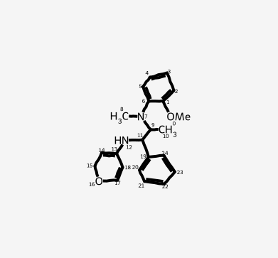 COc1ccccc1N(C)C(C)C(NC1=CCOC=C1)c1ccccc1